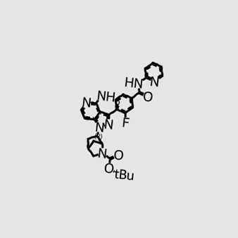 CC(C)(C)OC(=O)N1CC2CC1[C@H](n1nc(-c3ccc(C(=O)Nc4ccccn4)cc3F)c3c(N)nccc31)C2